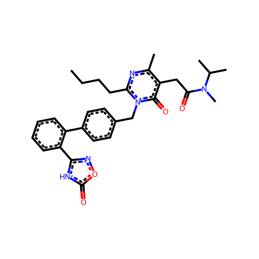 CCCCc1nc(C)c(CC(=O)N(C)C(C)C)c(=O)n1Cc1ccc(-c2ccccc2-c2noc(=O)[nH]2)cc1